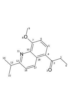 CCC(=O)c1ccc(OC)c2nc(C(C)C)ccc12